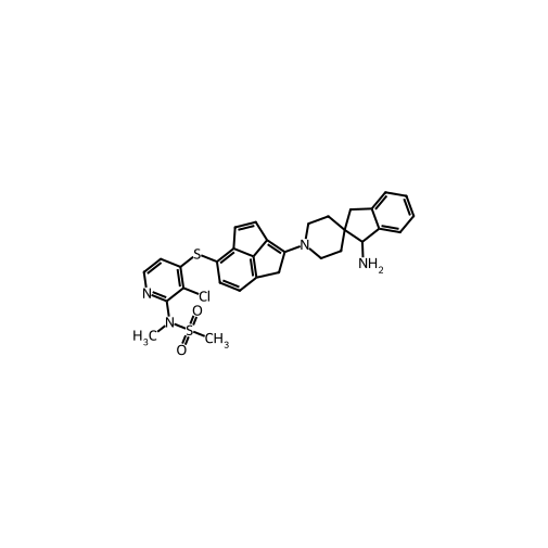 CN(c1nccc(Sc2ccc3c4c2C=CC4=C(N2CCC4(CC2)Cc2ccccc2C4N)C3)c1Cl)S(C)(=O)=O